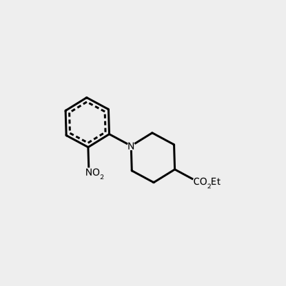 CCOC(=O)C1CCN(c2ccccc2[N+](=O)[O-])CC1